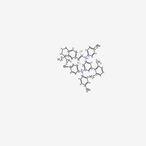 Cc1cccc(C)c1-c1cc2c3c(c1)N(c1ccc(C(C)(C)C)cc1)c1sc4cc5c(cc4c1B3c1cc(C(C)(C)C)ccc1N2c1ccc(C(C)(C)C)cc1)C(C)(C)CCC5